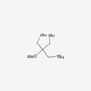 COC(CC(C)(C)C)(CC(C)(C)C)CC(C)(C)C